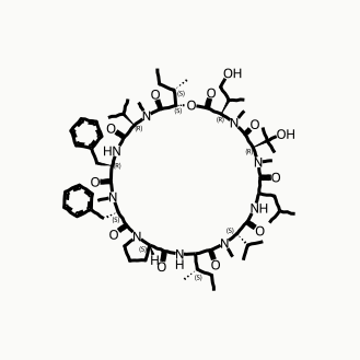 CC[C@H](C)C1NC(=O)[C@@H]2CCCN2C(=O)[C@H](Cc2ccccc2)N(C)C(=O)[C@@H](Cc2ccccc2)NC(=O)[C@@H](C(C)C)N(C)C(=O)[C@H]([C@@H](C)CC)OC(=O)[C@@H](C(C)CO)N(C)C(=O)[C@@H](C(C)(C)O)N(C)C(=O)C(CC(C)C)NC(=O)[C@H](C(C)C)N(C)C1=O